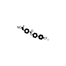 N#CC(F)=C[C@H]1CC[C@H](C(=O)O[C@H]2CC[C@H](c3ccc(C(F)(F)F)cc3)CC2)CC1